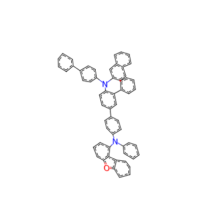 c1ccc(-c2ccc(N(c3ccc4ccccc4c3)c3ccc(-c4ccc(N(c5ccccc5)c5cccc6oc7ccccc7c56)cc4)cc3-c3ccccc3)cc2)cc1